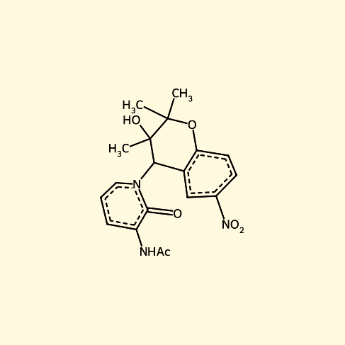 CC(=O)Nc1cccn(C2c3cc([N+](=O)[O-])ccc3OC(C)(C)C2(C)O)c1=O